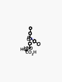 O=C(/C=C(\C(=O)c1ccc(C(=O)NC[C@@H](O)C(=O)O)cc1)c1ccc(C2CCCCC2)cc1)c1ccc(-c2ccccc2)cc1